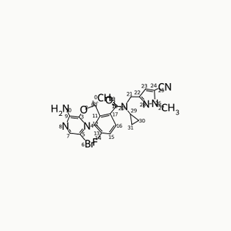 C[C@@H](Oc1nc(Br)cnc1N)c1cc(F)ccc1C(=O)N(Cc1cc(C#N)n(C)n1)C1CC1